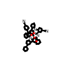 N#Cc1ccc(-c2ccc(-n3c4ccccc4c4cc(-c5ccccc5)ccc43)c(-c3nc(-c4ccccc4)nc(-c4cc(C#N)ccc4-n4c5ccccc5c5cc(-c6ccccc6)ccc54)n3)c2)cc1